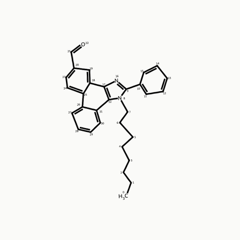 CCCCCCCCn1c(-c2ccccc2)nc2c3cc(C=O)ccc3c3ccccc3c21